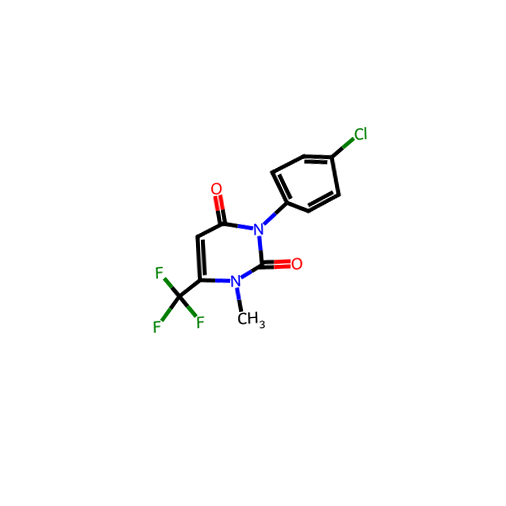 Cn1c(C(F)(F)F)cc(=O)n(-c2ccc(Cl)cc2)c1=O